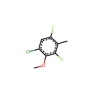 COc1c(Cl)cc(F)c(C)c1F